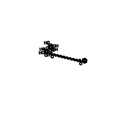 O=C(CCCCCCCCCCCCCCCCOC(=O)c1ccccc1)OC[C@H]1O[C@@H](O[C@H]2[C@H](O)[C@@H](O)[C@H](O)O[C@@H]2CO)[C@H](O)[C@@H](O)[C@@H]1O